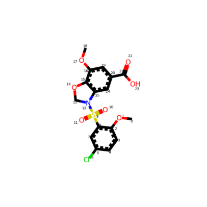 COc1ccc(Cl)cc1S(=O)(=O)N1COc2c(OC)cc(C(=O)O)cc21